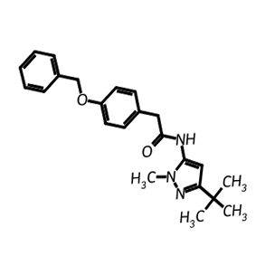 Cn1nc(C(C)(C)C)cc1NC(=O)Cc1ccc(OCc2ccccc2)cc1